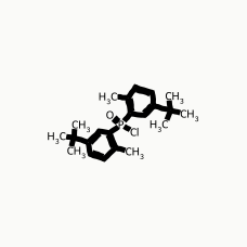 Cc1ccc(C(C)(C)C)cc1P(=O)(Cl)c1cc(C(C)(C)C)ccc1C